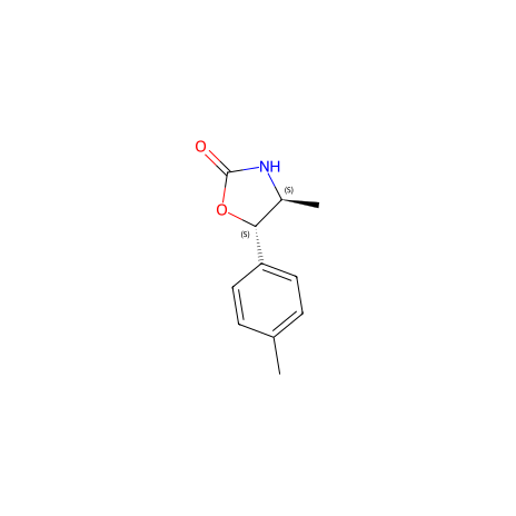 Cc1ccc([C@@H]2OC(=O)N[C@H]2C)cc1